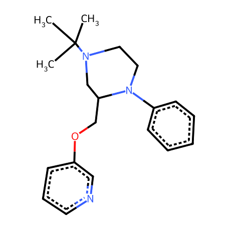 CC(C)(C)N1CCN(c2ccccc2)C(COc2cccnc2)C1